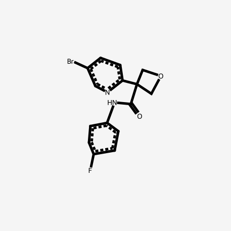 O=C(Nc1ccc(F)cc1)C1(c2ccc(Br)cn2)COC1